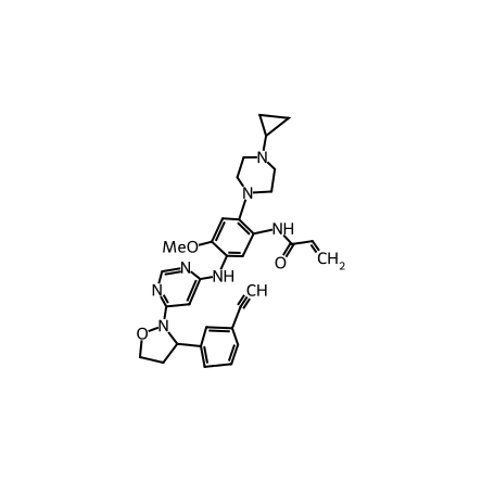 C#Cc1cccc(C2CCON2c2cc(Nc3cc(NC(=O)C=C)c(N4CCN(C5CC5)CC4)cc3OC)ncn2)c1